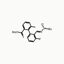 COC(=S)c1cccc(C)c1-c1cccc(F)c1/C=N/[S+]([O-])C(C)(C)C